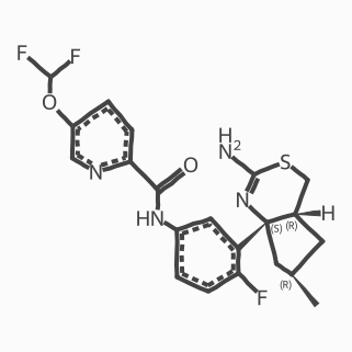 C[C@@H]1C[C@H]2CSC(N)=N[C@@]2(c2cc(NC(=O)c3ccc(OC(F)F)cn3)ccc2F)C1